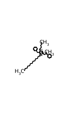 CCCCCCCCCCCCCC[n+]1c(CC(C)c2ccccc2)cn(CCCCC)c1Cc1ccccc1